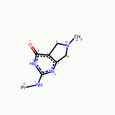 CC(C)Nc1nc2c(c(=O)[nH]1)CN(C)C2